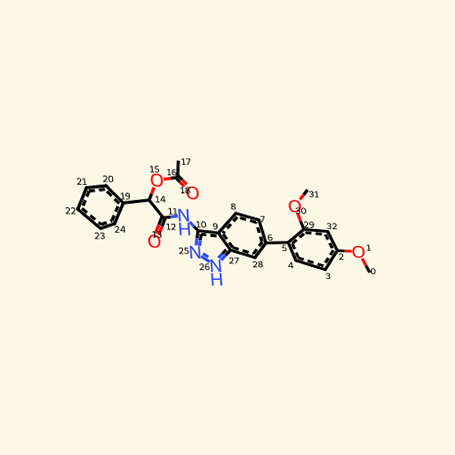 COc1ccc(-c2ccc3c(NC(=O)C(OC(C)=O)c4ccccc4)n[nH]c3c2)c(OC)c1